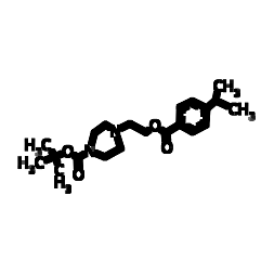 CC(C)c1ccc(C(=O)OCCN2CCN(C(=O)OC(C)(C)C)CC2)cc1